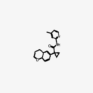 Cc1ccnc(NC(=O)C2(C3=CC4CCCOC4C=C3)CC2)c1